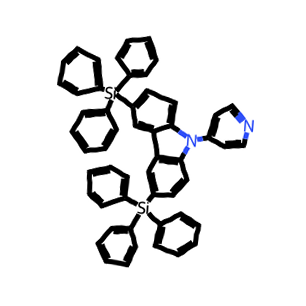 c1ccc([Si](c2ccccc2)(c2ccccc2)c2ccc3c(c2)c2cc([Si](c4ccccc4)(c4ccccc4)c4ccccc4)ccc2n3-c2ccncc2)cc1